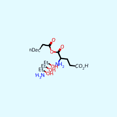 CCCCCCCCCCCC(=O)OC(=O)C(N)CCC(=O)O.CCO.CCO.CCO.N